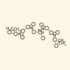 CC1(C)c2ccccc2-c2ccc(-n3c4ccccc4c4cc(-c5ccc6c7ccccc7n(-c7cccc(-c8cc(-c9ccccc9)nc(-n9c%10ccccc%10c%10ccc(-c%11ccc%12c(c%11)c%11ccccc%11n%12-c%11ccc%12c(c%11)C(C)(C)c%11ccccc%11-%12)cc%109)n8)c7)c6c5)ccc43)cc21